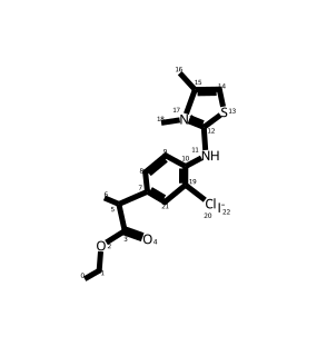 CCOC(=O)C(C)c1ccc(Nc2scc(C)[n+]2C)c(Cl)c1.[I-]